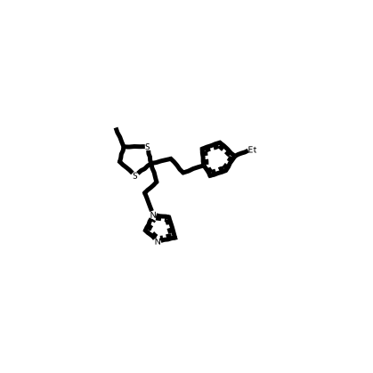 CCc1ccc(CCC2(CCn3ccnc3)SCC(C)S2)cc1